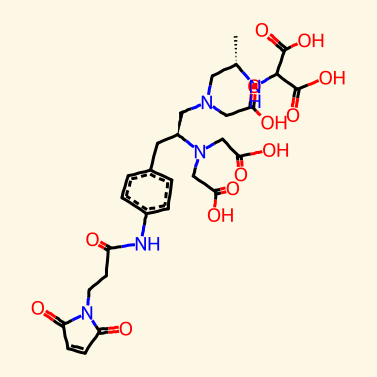 C[C@@H](CN(CC(=O)O)C[C@H](Cc1ccc(NC(=O)CCN2C(=O)C=CC2=O)cc1)N(CC(=O)O)CC(=O)O)NC(C(=O)O)C(=O)O